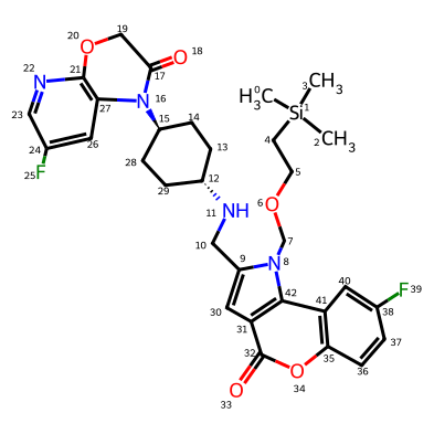 C[Si](C)(C)CCOCn1c(CN[C@H]2CC[C@H](N3C(=O)COc4ncc(F)cc43)CC2)cc2c(=O)oc3ccc(F)cc3c21